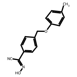 Cc1ccc(OCc2ccc(C(C#N)=NO)cc2)cc1